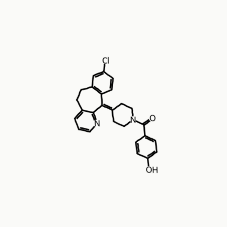 O=C(c1ccc(O)cc1)N1CCC(=C2c3ccc(Cl)cc3CCc3cccnc32)CC1